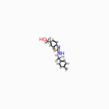 CC(C)(O)c1ccc2nc(NCC(C)(C)c3ccc(F)cc3)sc2c1